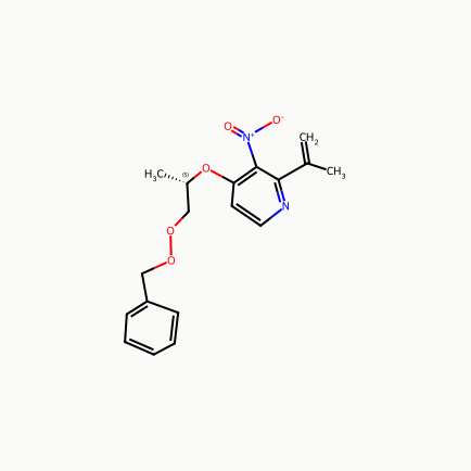 C=C(C)c1nccc(O[C@@H](C)COOCc2ccccc2)c1[N+](=O)[O-]